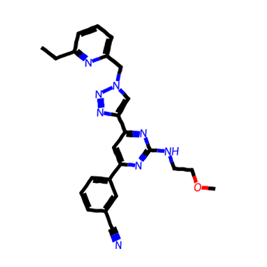 CCc1cccc(Cn2cc(-c3cc(-c4cccc(C#N)c4)nc(NCCOC)n3)nn2)n1